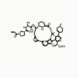 C=CC(=O)N1CC[C@H](C(=O)N(C)C(C(=O)N[C@H]2Cc3nc(cs3)-c3ccc4c(c3)c(c(-c3cc(C5=CCN(C)CC5)cnc3[C@H](C)OC)n4CC)CC(C)(C)COC(=O)[C@@H]3CCCN(N3)C2=O)C(C)C)C1